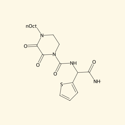 CCCCCCCCN1CCN(C(=O)NC(C([NH])=O)c2cccs2)C(=O)C1=O